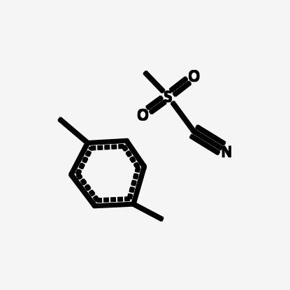 CS(=O)(=O)C#N.Cc1ccc(C)cc1